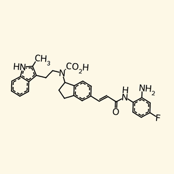 Cc1[nH]c2ccccc2c1CCN(C(=O)O)C1CCc2cc(/C=C/C(=O)Nc3ccc(F)cc3N)ccc21